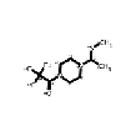 CSC(C)N1CCN(C(=O)C(F)(F)F)CC1